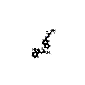 CC(Cc1c[nH]c2ccccc12)NC1CCc2cc(/C=C/C(=O)NO)ccc21